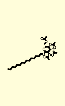 CCCCCCCCCCCCCCCOC1O[C@H](COC(C)=O)[C@@H](OC(C)=O)[C@H](OC(C)=O)[C@H]1OC(C)=O